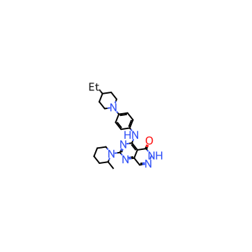 CCC1CCN(c2ccc(Nc3nc(N4CCCCC4C)nc4cn[nH]c(=O)c34)cc2)CC1